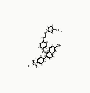 C[C@@H]1CCN(CCOc2ccc(Oc3c(-c4ccc(S(C)(=O)=O)cc4)ccc4cc(O)ccc34)cc2)C1